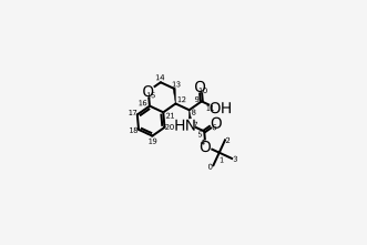 CC(C)(C)OC(=O)N[C@H](C(=O)O)[C@@H]1CCOc2ccccc21